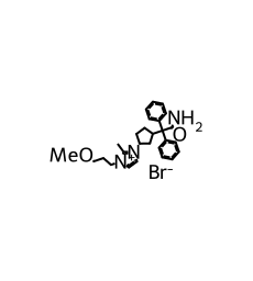 COCCC[n+]1ccn(C2CCC(C(C(N)=O)(c3ccccc3)c3ccccc3)C2)c1C.[Br-]